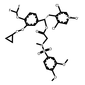 COc1ccc(S(=O)(=O)N(C)CC(=O)O[C@@H](Cc2c(Cl)c[n+]([O-])cc2Cl)c2ccc(OC(F)F)c(OCC3CC3)c2)cc1OC